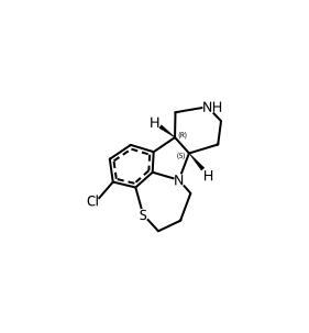 Clc1ccc2c3c1SCCCN3[C@H]1CCNC[C@@H]21